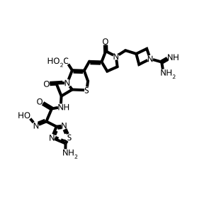 N=C(N)N1CC(CN2CC/C(=C\C3=C(C(=O)O)N4C(=O)C(NC(=O)/C(=N\O)c5nsc(N)n5)C4SC3)C2=O)C1